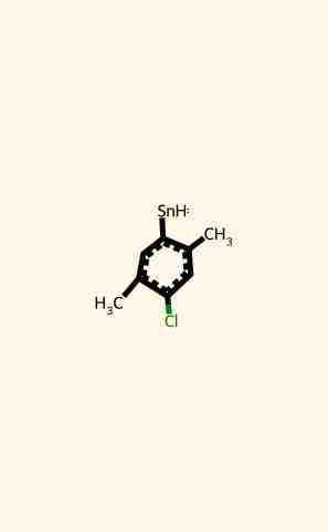 Cc1c[c]([SnH])c(C)cc1Cl